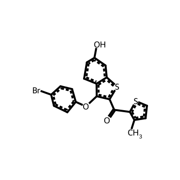 Cc1ccsc1C(=O)c1sc2cc(O)ccc2c1Oc1ccc(Br)cc1